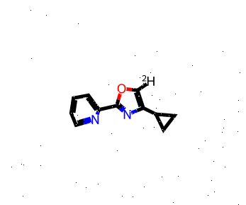 [2H]c1oc(-c2ccccn2)nc1C1CC1